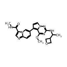 CNC(=O)c1cnc2ccc(-c3ccn4nc(NC(C)C5COC5)nc(OC)c34)cn12